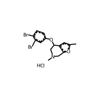 Cc1cc2c(o1)CN(C)CC2Oc1ccc(Br)c(Br)c1.Cl